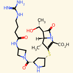 C[C@@H](O)[C@H]1C(=O)N2C(C(=O)O)=C(S[C@@H]3CN[C@H](C(=O)N4CC(NC(=O)CCCNC(=N)N)C4)C3)[C@H](C)[C@H]12